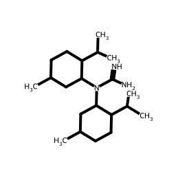 CC1CCC(C(C)C)C(N(C(=N)N)C2CC(C)CCC2C(C)C)C1